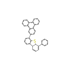 C1=CC2c3cccc(-c4ccc5c6ccccc6c6ccccc6c5c4)c3SC2C(c2ccccc2)=C1